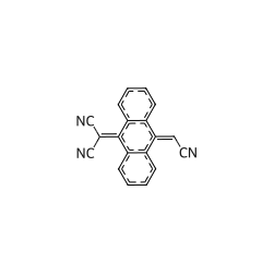 N#CC=c1c2ccccc2c(=C(C#N)C#N)c2ccccc12